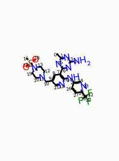 Cc1nc(N)nc(-c2cc(CN3CCN(S(C)(=O)=O)CC3)cnc2Nc2ccc(C(F)(F)F)nc2)n1